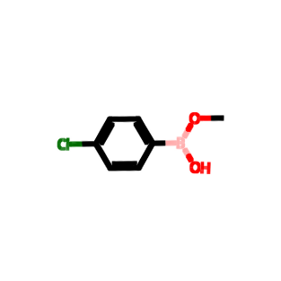 COB(O)c1ccc(Cl)cc1